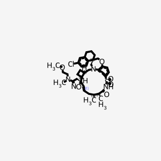 COCCN(C)C1=NO[C@]2(/C=C/C[C@H](C)[C@@H](C)C(=O)NS(=O)(=O)c3ccc4c(c3)N(C[C@@H]3CC[C@H]32)C[C@@]2(CCCc3cc(Cl)ccc32)CO4)C1